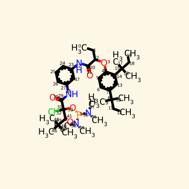 CCC(Oc1ccc(C(C)(C)CC)cc1C(C)(C)CC)C(=O)Nc1cccc(NC(=O)C(Cl)(OP(N(C)C)N(C)C)C(=O)C(C)(C)C)c1